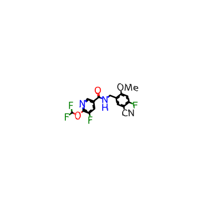 COc1cc(F)c(C#N)cc1CNC(=O)c1cnc(OC(F)F)c(F)c1